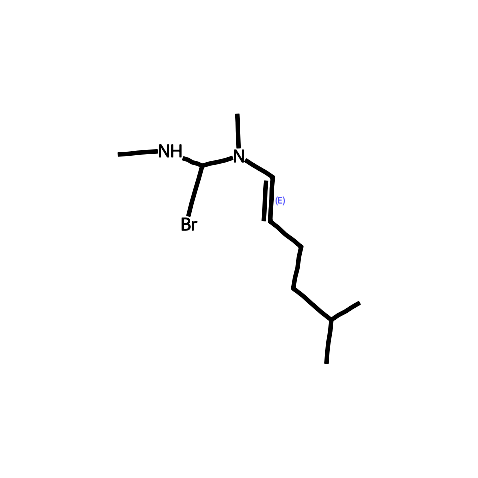 CNC(Br)N(C)/C=C/CCC(C)C